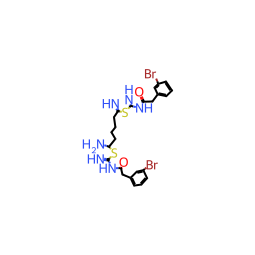 N=C(CCCCC(N)SC(=N)NC(=O)Cc1cccc(Br)c1)SC(=N)NC(=O)Cc1cccc(Br)c1